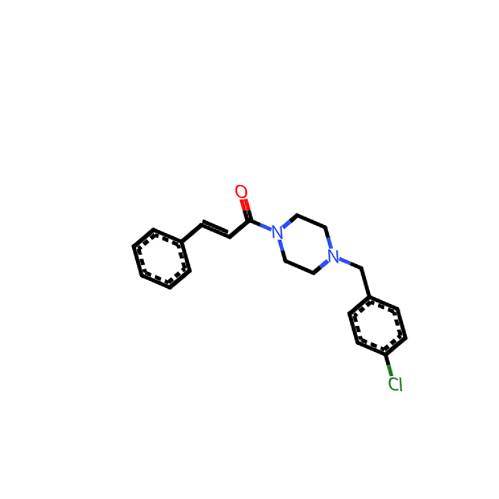 O=C(/C=C/c1ccccc1)N1CCN(Cc2ccc(Cl)cc2)CC1